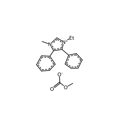 CC[n+]1cn(C)c(-c2ccccc2)c1-c1ccccc1.COC(=O)[O-]